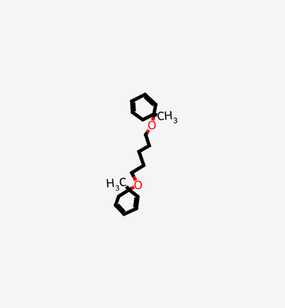 CC1(OCCCCCOC2(C)C=CC=CC2)C=CC=CC1